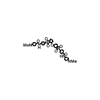 CNc1ccc(NC(=O)c2ccc(N3C(=O)c4ccc(Oc5cccc6c5C(=O)N(c5ccc(NC(=O)c7ccc(NC)cc7)cc5)C6=O)cc4C3=O)cc2)cc1